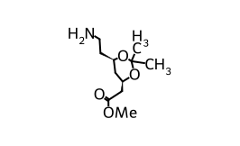 COC(=O)C[C@H]1C[C@@H](CCN)OC(C)(C)O1